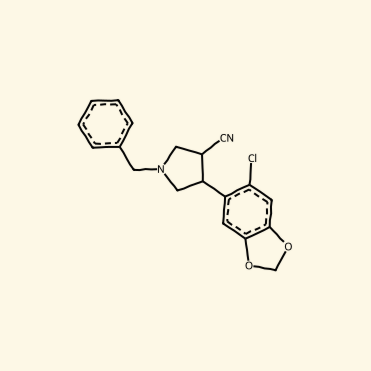 N#CC1CN(Cc2ccccc2)CC1c1cc2c(cc1Cl)OCO2